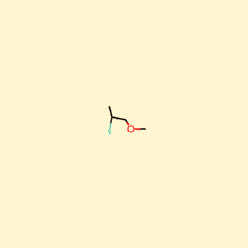 COCC(C)F